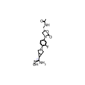 CC(=O)NC[C@H]1CN(c2ccc(N3CC4C(C3)C4/C(N)=N/O)c(F)c2)C(=O)O1